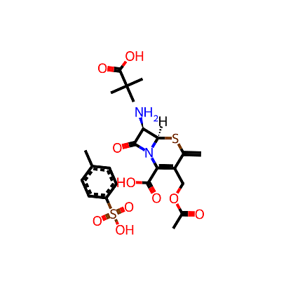 C=C1S[C@@H]2[C@H](N)C(=O)N2C(C(=O)O)=C1COC(C)=O.CC(C)(C)C(=O)O.Cc1ccc(S(=O)(=O)O)cc1